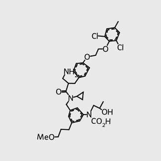 COCCCc1cc(CN(C(=O)C(CN)Cc2ccc(OCCOc3c(Cl)cc(C)cc3Cl)cc2)C2CC2)cc(N(CC(C)O)C(=O)O)c1